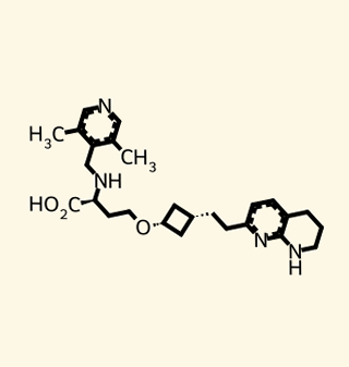 Cc1cncc(C)c1CN[C@@H](CCO[C@H]1C[C@@H](CCc2ccc3c(n2)NCCC3)C1)C(=O)O